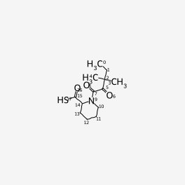 CCC(C)(C)C(=O)C(=O)N1CCCCC1C(=O)S